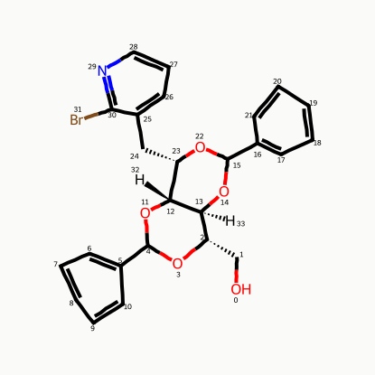 OC[C@@H]1OC(c2ccccc2)O[C@H]2[C@H]1OC(c1ccccc1)O[C@H]2Cc1cccnc1Br